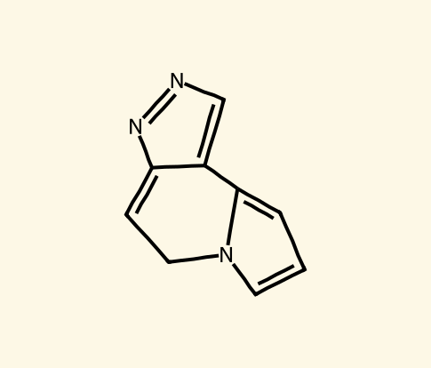 C1=C2N=NC=C2c2cccn2C1